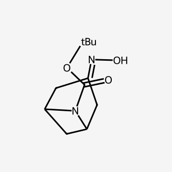 CC(C)(C)OC(=O)N1C2CC(=NO)CC1C2